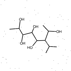 CC(C)C(C(C)O)C(O)C(O)C(O)C(C)O